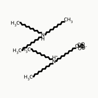 CCCCCCCCCCCC[NH+](CCCCCCCCCCCC)CCCCCCCCCCCC.CCCCCCCCCCCC[NH+](CCCCCCCCCCCC)CCCCCCCCCCCC.[O]=[Mo](=[O])([O-])[O-]